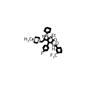 CCN1C(=O)C(NC(=O)c2cccc(C(F)(F)F)c2)C(c2ccc(F)cc2)c2c(CN3CCN(C)CC3)nn(-c3ccccc3)c21